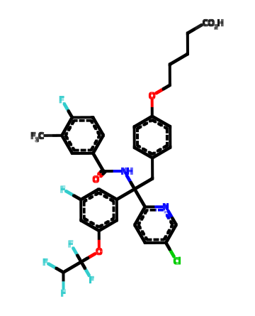 O=C(O)CCCCOc1ccc(CC(NC(=O)c2ccc(F)c(C(F)(F)F)c2)(c2cc(F)cc(OC(F)(F)C(F)F)c2)c2ccc(Cl)cn2)cc1